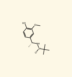 COc1cc([C@@H](C)N[S+]([O-])C(C)(C)C)ccc1O